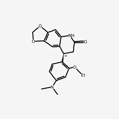 CCOc1cc(N(C)C)ccc1[C@@H]1CC(=O)Nc2cc3c(cc21)OCO3